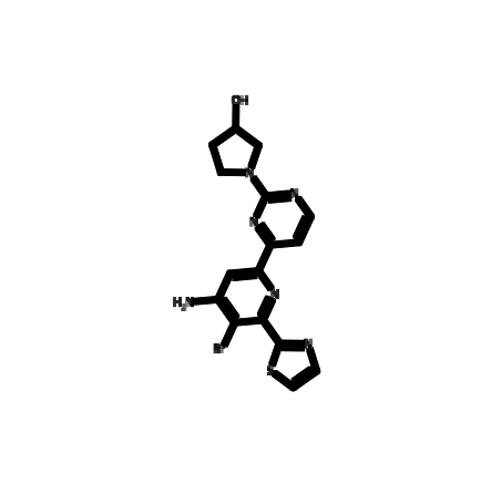 Nc1cc(-c2ccnc(N3CCC(O)C3)n2)nc(-c2nccs2)c1Br